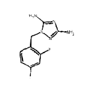 Nc1nc(N)n(Cc2ccc(F)cc2F)n1